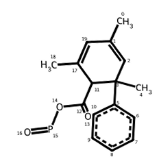 CC1=CC(C)(c2ccccc2)C(C(=O)OP=O)C(C)=C1